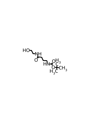 CC(C)(C)OC(=O)NCCCC(=O)NCCO